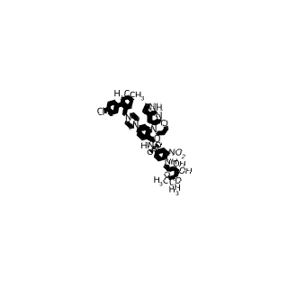 CC1(C)CCC(CN2CCN(c3ccc(C(=O)NS(=O)(=O)c4ccc(NCC5OC(C)(C)C(O)C(O)C5O)c([N+](=O)[O-])c4)c(N4CCCOc5nc6[nH]ccc6cc54)c3)CC2)=C(c2ccc(Cl)cc2)C1